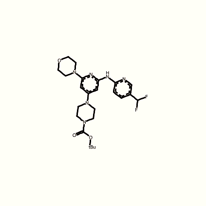 CC(C)(C)OC(=O)N1CCN(c2cc(Nc3ccc(C(F)F)cn3)nc(N3CCOCC3)c2)CC1